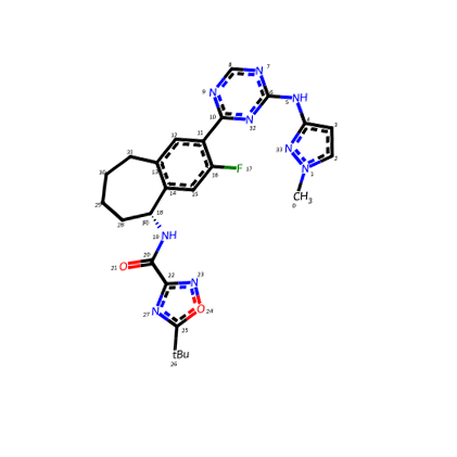 Cn1ccc(Nc2ncnc(-c3cc4c(cc3F)[C@H](NC(=O)c3noc(C(C)(C)C)n3)CCCC4)n2)n1